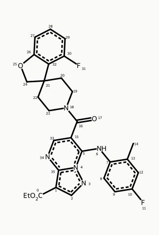 CCOC(=O)c1cnn2c(Nc3ccc(F)cc3C)c(C(=O)N3CCC4(CC3)COc3cccc(F)c34)cnc12